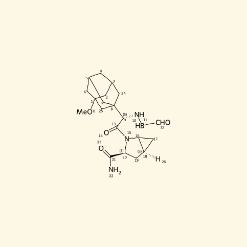 COC12CC3CC(C1)CC([C@H](NBC=O)C(=O)N1C4C[C@H]4C[C@H]1C(N)=O)(C3)C2